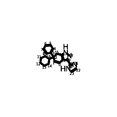 C1=CC(c2ccccc2)(C2CCCCC2)Cc2[nH]nc(-c3ncc[nH]3)c21